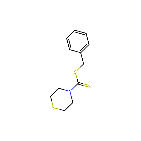 S=C(SCc1ccccc1)N1CCSCC1